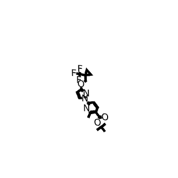 Cc1nc(-n2ccc(OCC3(C(F)(F)F)CC3)n2)ccc1C(=O)OC(C)(C)C